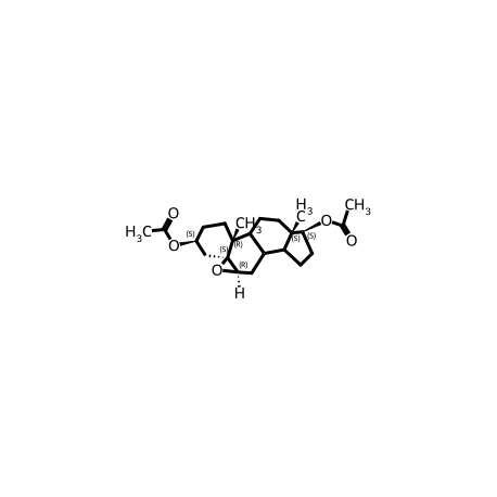 CC(=O)O[C@H]1CC[C@]2(C)C3CC[C@@]4(C)C(CC[C@@H]4OC(C)=O)C3C[C@H]3O[C@]32C1